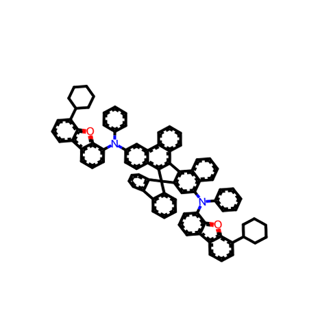 c1ccc(N(c2ccc3c4c(c5ccccc5c3c2)-c2c(cc(N(c3ccccc3)c3cccc5c3oc3c(C6CCCCC6)cccc35)c3ccccc23)C42c3ccccc3-c3ccccc32)c2cccc3c2oc2c(C4CCCCC4)cccc23)cc1